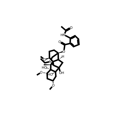 CCN1C[C@]2(OC(=O)c3ccccc3NC(C)=O)CC[C@H](OC)C34C1C(O)(C[C@@H]32)[C@@]1(O)C[C@H](OC)C[C@H](OC)[C@@]1(O)[C@H]4C